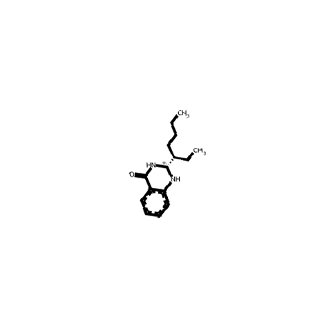 CCCCC(CC)[C@H]1NC(=O)c2ccccc2N1